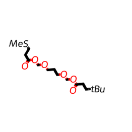 CSCCC(=O)OCOCCCOCOC(=O)CCC(C)(C)C